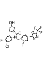 O=C(N1CC[C@@H](O)C1)N(Cc1ccc(-c2nnc(C(F)(F)F)o2)cc1F)c1ccc(F)c(Cl)c1